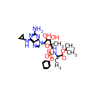 CC(C)OC(=O)[C@H](C)N[P@](=O)(OC[C@@]1(C)O[C@@H](n2cnc3c(NC4CC4)nc(N)nc32)C(O)C1O)Oc1ccccc1